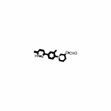 C=C1C=CC(c2ccc(N3CCCC(OC=O)C3)c(C)c2)=NN1